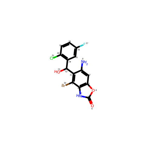 Nc1cc2oc(=O)[nH]c2c(Br)c1C(O)c1cc(F)ccc1Cl